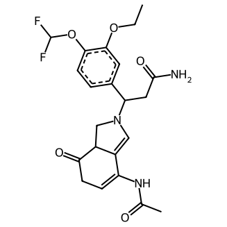 CCOc1cc(C(CC(N)=O)N2C=C3C(NC(C)=O)=CCC(=O)C3C2)ccc1OC(F)F